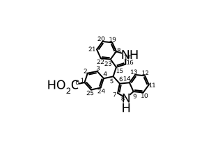 O=C(O)c1ccc(C(c2c[nH]c3ccccc23)c2c[nH]c3ccccc23)cc1